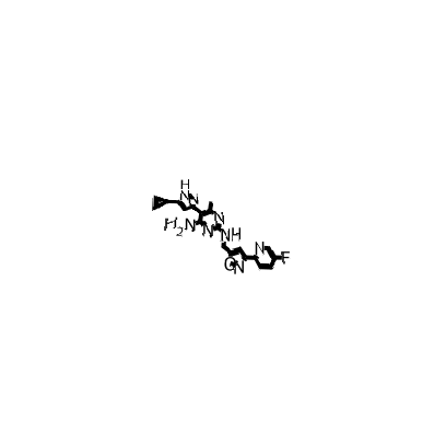 Cc1nc(NCc2cc(-c3ccc(F)cn3)no2)nc(N)c1-c1cc(C2CC2)[nH]n1